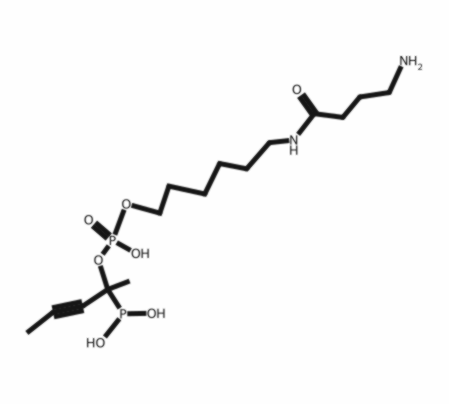 CC#CC(C)(OP(=O)(O)OCCCCCCNC(=O)CCCN)P(O)O